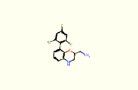 NC[C@H]1CNc2cccc(-c3c(Cl)cc(Cl)cc3Cl)c2O1